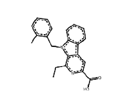 CCc1nc(C(=O)O)cc2c3ccccc3n(Cc3ccccc3C)c12